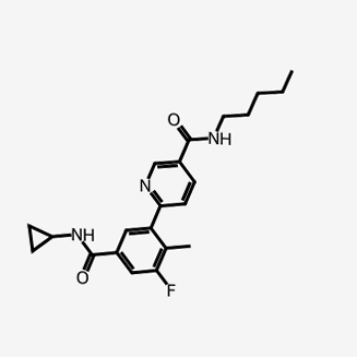 CCCCCNC(=O)c1ccc(-c2cc(C(=O)NC3CC3)cc(F)c2C)nc1